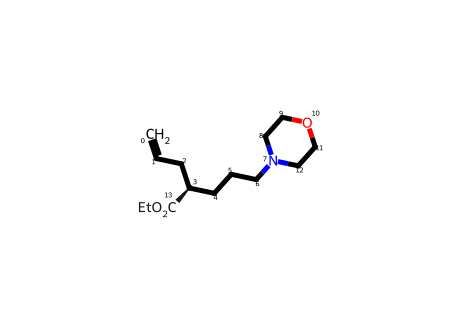 C=CC[C@@H](CCCN1CCOCC1)C(=O)OCC